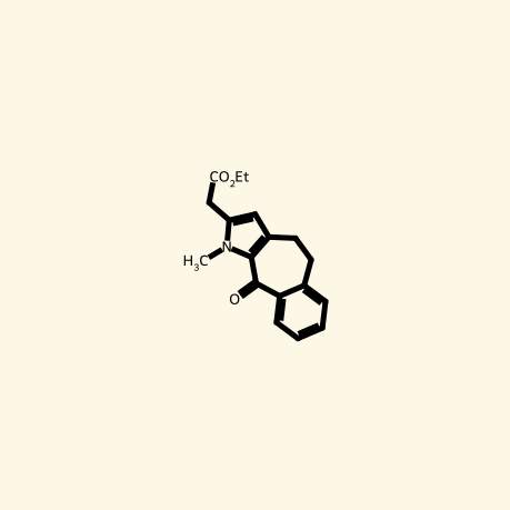 CCOC(=O)Cc1cc2c(n1C)C(=O)c1ccccc1CC2